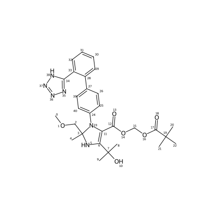 COCC1(C)NC(C(C)(C)O)=C(C(=O)OCOC(=O)C(C)(C)C)N1c1ccc(-c2ccccc2-c2nnn[nH]2)cc1